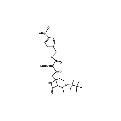 CCC1(CC(=O)C(=[N+]=[N-])C(=O)OCc2ccc([N+](=O)[O-])cc2)NC(=O)C1C(C)O[Si](C)(C)C(C)(C)C